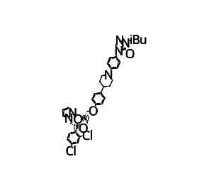 CCC(C)n1ncn(-c2ccc(N3CCC(c4ccc(OC[C@@H]5CO[C@@](Cn6cccn6)(c6ccc(Cl)cc6Cl)O5)cc4)CC3)cc2)c1=O